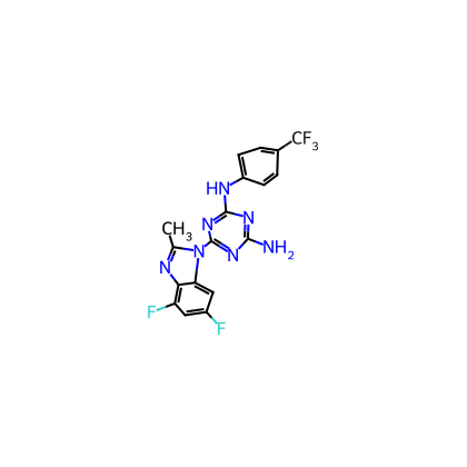 Cc1nc2c(F)cc(F)cc2n1-c1nc(N)nc(Nc2ccc(C(F)(F)F)cc2)n1